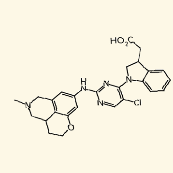 CN1Cc2cc(Nc3ncc(Cl)c(N4CC(CC(=O)O)c5ccccc54)n3)cc3c2C(CCO3)C1